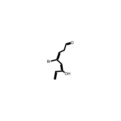 C=C/C(O)=C\C(Br)=C/CC=O